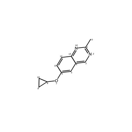 Cc1ncc2cc(OC3CC3)ccc2n1